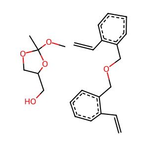 C=Cc1ccccc1COCc1ccccc1C=C.COC1(C)OCC(CO)O1